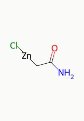 NC(=O)[CH2][Zn][Cl]